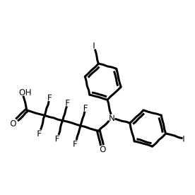 O=C(O)C(F)(F)C(F)(F)C(F)(F)C(=O)N(c1ccc(I)cc1)c1ccc(I)cc1